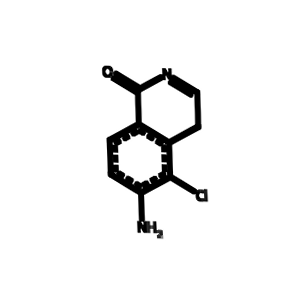 Nc1ccc2c(c1Cl)CC=NC2=O